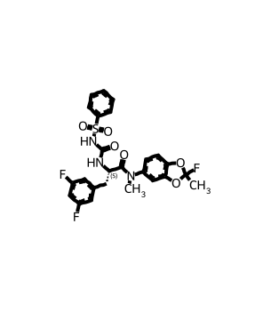 CN(C(=O)[C@H](Cc1cc(F)cc(F)c1)NC(=O)NS(=O)(=O)c1ccccc1)c1ccc2c(c1)OC(C)(F)O2